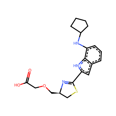 O=C(O)COC[C@@H]1CSC(c2cc3cccc(NC4CCCC4)c3[nH]2)=N1